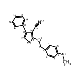 CSc1ccc(COc2scc(-c3ccccc3)c2C#N)cc1